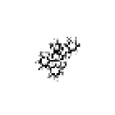 CC(C(=O)C(Oc1ccccc1)n1cncn1)(c1ccccc1)c1ccccc1